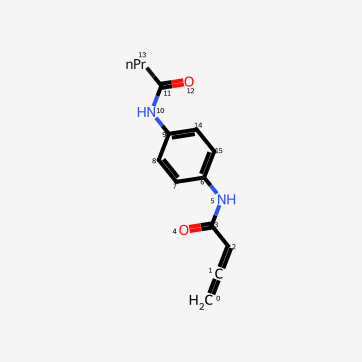 C=C=CC(=O)Nc1ccc(NC(=O)CCC)cc1